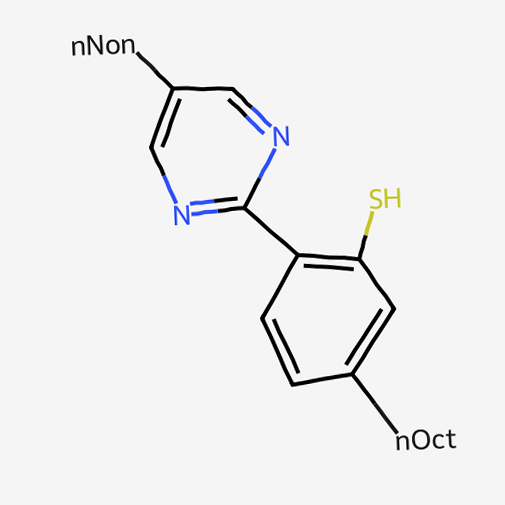 CCCCCCCCCc1cnc(-c2ccc(CCCCCCCC)cc2S)nc1